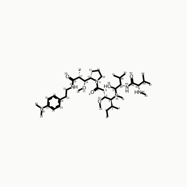 CCC(C)[C@@H]([C@@H](CC(=O)N1CCC[C@H]1[C@H](OC)[C@@H](C)C(=O)NCCc1ccc(N(C)C)cc1)OC)N(C)C(O)[C@@H](NC(=O)[C@@H](NC)C(C)C)C(C)C